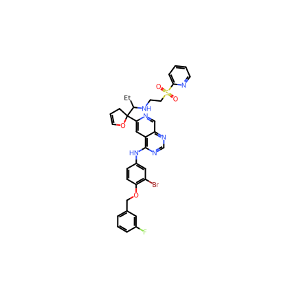 CCC(NCCS(=O)(=O)c1ccccn1)C1(c2cc3c(Nc4ccc(OCc5cccc(F)c5)c(Br)c4)ncnc3cn2)CC=CO1